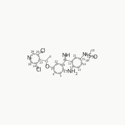 CC(Oc1ccc(N)c(C(=N)c2cccc(N=S(C)(C)=O)c2)c1)c1c(Cl)cncc1Cl